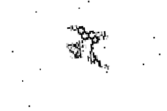 CC(C)CCc1cn(CCCC2CC(=O)C3(C)CCC4c5ccc(O)cc5CCC4C23)nn1.CCOC(C)OCC.OCCO